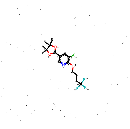 CC1(C)OB(c2cnc(OCCCC(F)(F)F)c(Cl)c2)OC1(C)C